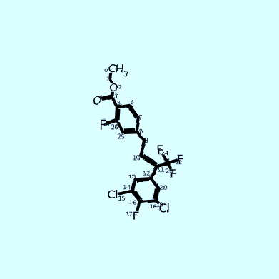 CCOC(=O)c1ccc(CC=C(c2cc(Cl)c(F)c(Cl)c2)C(F)(F)F)cc1F